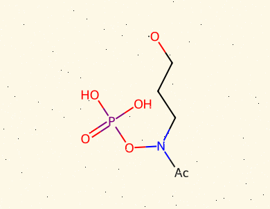 CC(=O)N(CCC[O])OP(=O)(O)O